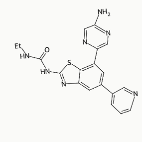 CCNC(=O)Nc1nc2cc(-c3cccnc3)cc(-c3cnc(N)cn3)c2s1